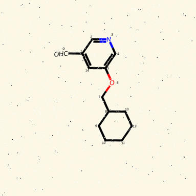 O=Cc1cncc(OCC2CCCCC2)c1